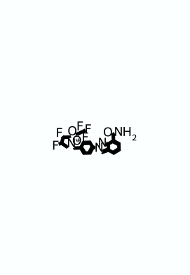 NC(=O)c1cccc2cn(-c3ccc(C[N+]4(OC(=O)C(F)(F)F)CC(F)C(F)C4)cc3)nc12